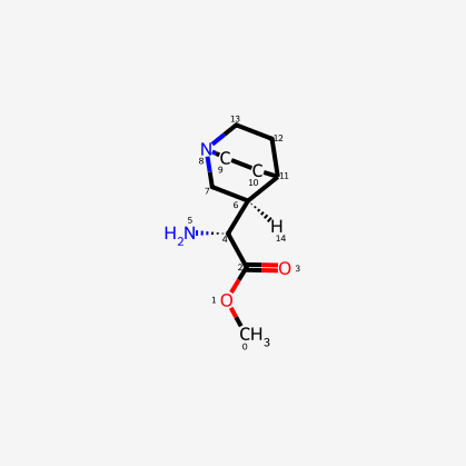 COC(=O)[C@H](N)[C@H]1CN2CCC1CC2